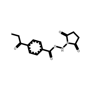 O=C(CI)c1ccc(C(=O)ONN2C(=O)CCC2=O)cc1